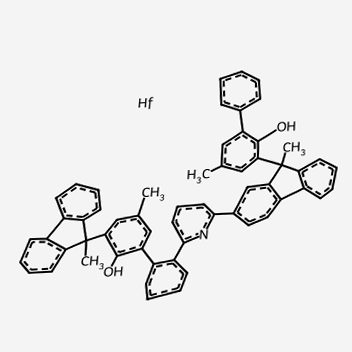 Cc1cc(-c2ccccc2)c(O)c(C2(C)c3ccccc3-c3ccc(-c4cccc(-c5ccccc5-c5cc(C)cc(C6(C)c7ccccc7-c7ccccc76)c5O)n4)cc32)c1.[Hf]